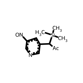 CC(=O)C(c1cncc(N=O)c1)[Si](C)(C)C